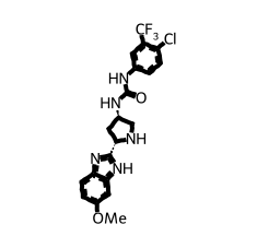 COc1ccc2nc([C@@H]3C[C@H](NC(=O)Nc4ccc(Cl)c(C(F)(F)F)c4)CN3)[nH]c2c1